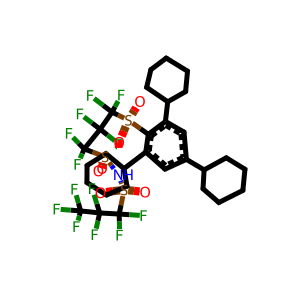 O=S(=O)(NS(=O)(=O)C(F)(F)C(F)(F)C(F)(F)S(=O)(=O)c1c(C2CCCCC2)cc(C2CCCCC2)cc1C1CCCCC1)C(F)(F)C(F)(F)C(F)(F)F